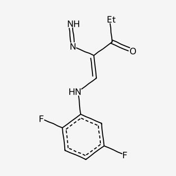 CCC(=O)/C(=C/Nc1cc(F)ccc1F)N=N